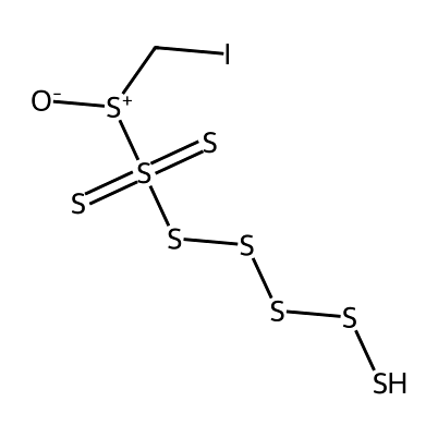 [O-][S+](CI)S(=S)(=S)SSSSS